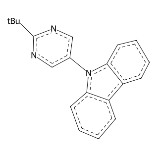 CC(C)(C)c1ncc(-n2c3ccccc3c3ccccc32)cn1